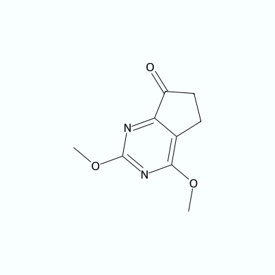 COc1nc(OC)c2c(n1)C(=O)CC2